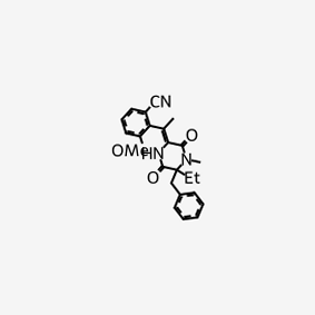 CCC1(Cc2ccccc2)C(=O)NC(=C(C)c2c(C#N)cccc2OC)C(=O)N1C